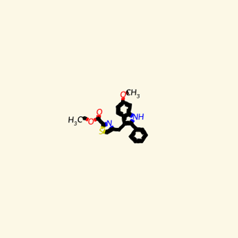 CCOC(=O)c1nc(Cc2c(-c3ccccc3)[nH]c3cc(OC)ccc23)cs1